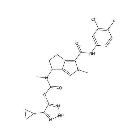 CN(C(=O)Oc1n[nH]nc1C1CC1)C1CCc2c1cn(C)c2C(=O)Nc1ccc(F)c(Cl)c1